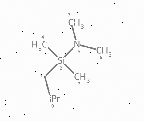 CC(C)C[Si](C)(C)N(C)C